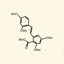 COC(=O)c1c(/C=C/c2ccc(OC)cc2OC)cc(OC)cc1OC